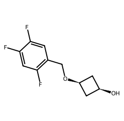 O[C@H]1C[C@@H](OCc2cc(F)c(F)cc2F)C1